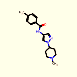 Cc1ccc(C(=O)Nc2cnn(C3CCN(C)CC3)c2)cc1